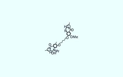 COc1cc2c(cc1OCCCCCOc1cc3c(cc1C)C(=O)N1CC(C)=C[C@H]1C(O)N3C(C)C)N=C[C@@H]1C=C(C)CN1C2=O